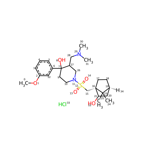 COc1cccc(C2(O)CCN(S(=O)(=O)C[C@@]34CC[C@@H](CC3O)C4(C)C)CC2CN(C)C)c1.Cl